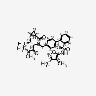 Cc1noc(NS(=O)(=O)c2ccccc2-c2ccc(CN(C(=O)C3CC3)[C@H](C(=O)N(C)C)C(C)C)cc2)c1C